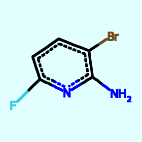 Nc1nc(F)ccc1Br